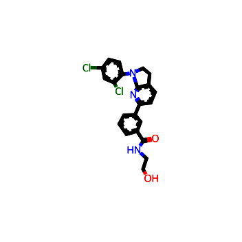 O=C(NCCO)c1cccc(-c2ccc3c(n2)N(c2ccc(Cl)cc2Cl)CC3)c1